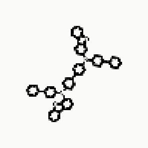 c1ccc(-c2ccc(N(c3ccc(-c4ccc(N(c5ccc(-c6ccccc6)cc5)c5cccc6c5oc5ccccc56)cc4)cc3)c3ccc4c(c3)oc3ccccc34)cc2)cc1